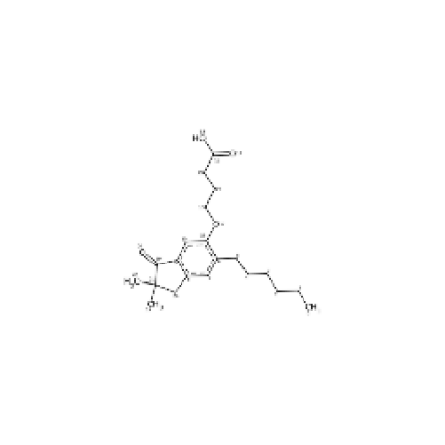 CCCCCCc1cc2c(cc1OCCCC(=O)O)C(=O)C(C)(C)C2